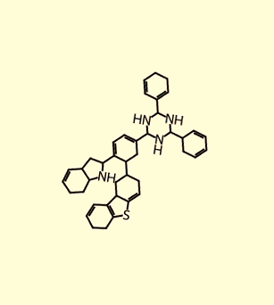 C1=CCC(C2NC(C3=CCCC=C3)NC(C3=CC=C(C4CC5C=CCCC5N4)C(C4CC=C5SC6=C(C=CCC6)C5C4)C3)N2)C=C1